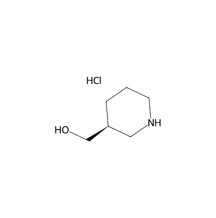 Cl.OC[C@H]1CCCNC1